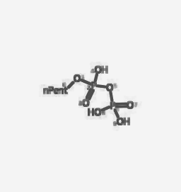 CCCCCOP(=O)(O)OP(=O)(O)O